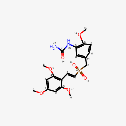 COc1cc(OC)c(C=CS(=O)(=O)Cc2ccc(OC)c(NC(N)=O)c2)c(OC)c1